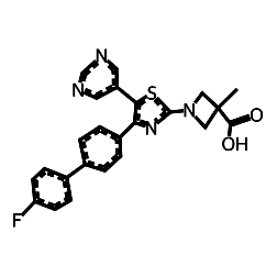 CC1(C(=O)O)CN(c2nc(-c3ccc(-c4ccc(F)cc4)cc3)c(-c3cncnc3)s2)C1